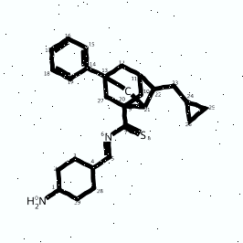 NC1CCC(/C=N/C(=S)C23CC4CC(c5ccccc5)(CC2C4CC2CC2)C3)CC1